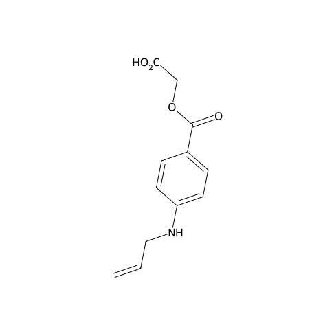 C=CCNc1ccc(C(=O)OCC(=O)O)cc1